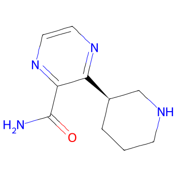 NC(=O)c1nccnc1[C@@H]1CCCNC1